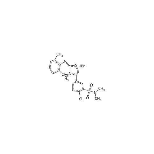 Br.Cc1cccc(C)c1/N=c1/scc(-c2ccc(Cl)c(S(=O)(=O)N(C)C)c2)n1C